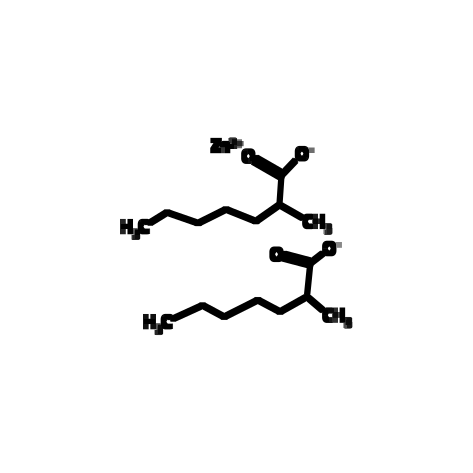 CCCCCC(C)C(=O)[O-].CCCCCC(C)C(=O)[O-].[Zn+2]